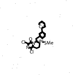 CSNC1CCc2c(Cl)nc(Cl)c(=O)n2C1Cc1cccc(-c2ccccc2)c1